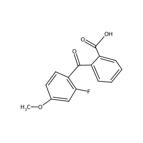 COc1ccc(C(=O)c2ccccc2C(=O)O)c(F)c1